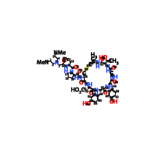 CNCCN(CCNC)CC(=O)N[C@@H](CC(C)C)C(=O)N1CCC[C@H]1C(=O)N[C@H]1CSSC[C@@H](C)NC(=O)[C@H](C(C)O)NC(=O)CNC(=O)[C@H](Cc2ccc(O)cc2)NC(=O)[C@H](Cc2ccc(O)cc2)NC(=O)[C@H](CC(=O)O)NC1=O